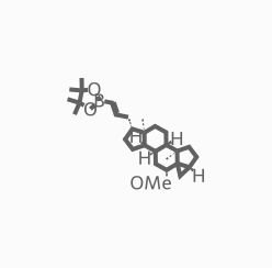 CO[C@@H]1C[C@H]2[C@@H]3CC[C@H](C/C=C/B4OC(C)(C)C(C)(C)O4)[C@@]3(C)CC[C@@H]2[C@@]2(C)CC[C@@H]3CC312